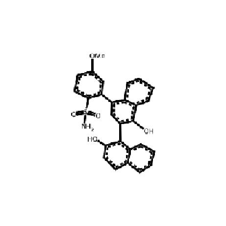 COc1ccc(S(N)(=O)=O)c(-c2cc(-c3c(O)ccc4ccccc34)c(O)c3ccccc23)c1